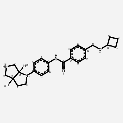 O=C(Nc1ccc(N2CC[C@@H]3CNC[C@@H]32)cc1)c1ccc(COC2CCC2)cc1